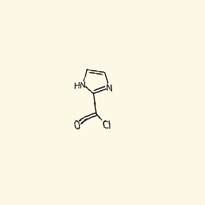 O=C(Cl)c1ncc[nH]1